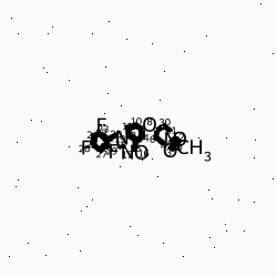 CS(=O)(=O)N1CCC(Oc2ccc3c(c2)c(=O)ncn3Cc2c(F)cc(F)cc2F)CC1